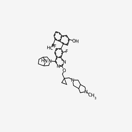 C#Cc1cccc2cc(O)cc(-c3c(F)cc4c(N5CC6CCC(C5)N6)nc(OCC5(CN6CC7CN(C)CC7C6)CC5)nc4c3F)c12